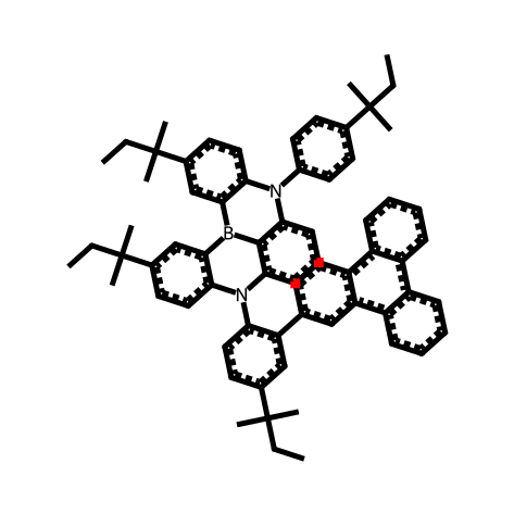 CCC(C)(C)c1ccc(N2c3ccc(C(C)(C)CC)cc3B3c4cc(C(C)(C)CC)ccc4N(c4ccc(C(C)(C)CC)cc4-c4ccc5c6ccccc6c6ccccc6c5c4)c4cccc2c43)cc1